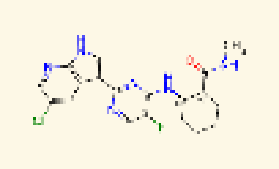 CNC(=O)[C@H]1CCCC[C@H]1Nc1nc(-c2c[nH]c3ncc(Cl)cc23)ncc1F